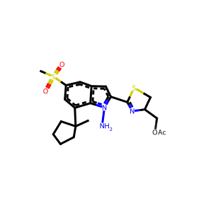 CC(=O)OCC1CSC(c2cc3cc(S(C)(=O)=O)cc(C4(C)CCCC4)c3n2N)=N1